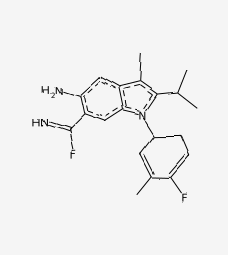 CC1=CC(n2c(C(C)C)c(C)c3cc(N)c(C(=N)F)cc32)CC=C1F